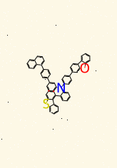 c1cc(-c2ccc(-c3cccc4ccccc34)cc2)cc(N(c2ccc(-c3ccc4c(c3)oc3ccccc34)cc2)c2ccccc2-c2cccc3sc4ccccc4c23)c1